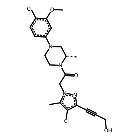 COc1cc(N2CCN(C(=O)Cn3nc(C#CCO)c(Cl)c3C)[C@@H](C)C2)ccc1Cl